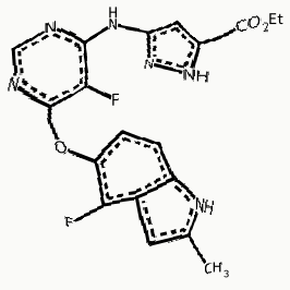 CCOC(=O)c1cc(Nc2ncnc(Oc3ccc4[nH]c(C)cc4c3F)c2F)n[nH]1